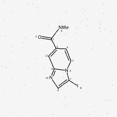 CNC(=O)c1ccn2c(I)cnc2c1